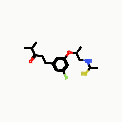 CC(S)NC[C@H](C)Oc1cc(F)cc(CCC(=O)C(C)C)c1